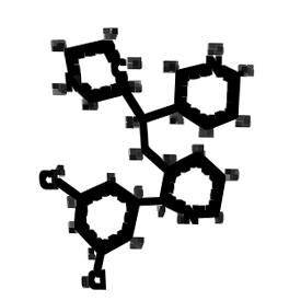 Clc1cc(Cl)cc(-c2ncccc2CC(c2cccnc2)c2cccnc2)c1